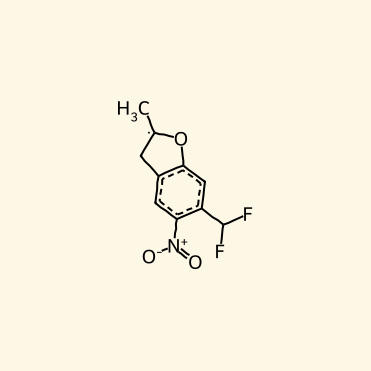 C[C]1Cc2cc([N+](=O)[O-])c(C(F)F)cc2O1